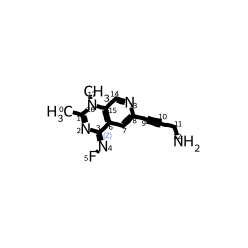 Cc1n/c(=N\F)c2cc(C#CCN)ncc2n1C